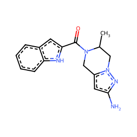 CC1Cn2nc(N)cc2CN1C(=O)c1cc2ccccc2[nH]1